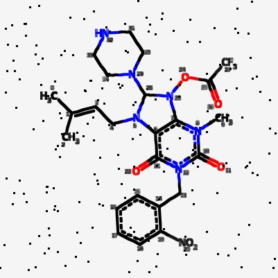 CC(C)=CCN1c2c(n(C)c(=O)n(Cc3ccccc3[N+](=O)[O-])c2=O)N(OC(=O)C(F)(F)F)C1N1CCNCC1